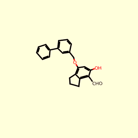 O=Cc1c(O)cc(OCc2cccc(-c3ccccc3)c2)c2c1CCC2